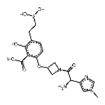 Cn1cnc(C(N)C(=O)N2CC(Oc3ccc(CCB(O)O)c(O)c3C(=O)O)C2)c1